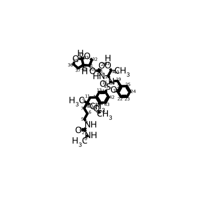 CNC(=O)NCCCC(C)(C)Cc1cc(S(=O)(=O)N(Cc2ccccc2)[C@H](NC(=O)O[C@H]2CO[C@H]3OCC[C@H]32)[C@@H](C)O)ccc1OC